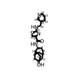 O=C(N[C@H]1CCC2CC3C[C@@](O)(C2)CC31)c1csc(NCc2cccnc2)n1